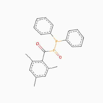 Cc1cc(C)c(C(=O)[P](=O)P(c2ccccc2)c2ccccc2)c(C)c1